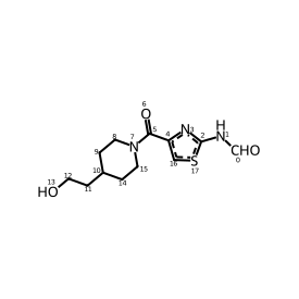 O=CNc1nc(C(=O)N2CCC(CCO)CC2)cs1